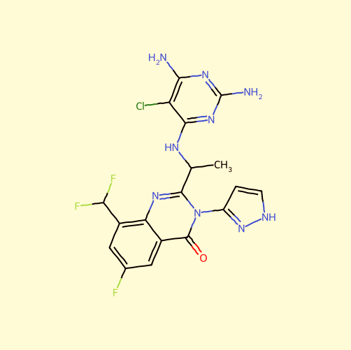 CC(Nc1nc(N)nc(N)c1Cl)c1nc2c(C(F)F)cc(F)cc2c(=O)n1-c1cc[nH]n1